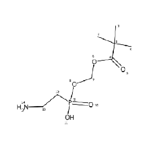 CC(C)(C)C(=O)OCOP(=O)(O)CCN